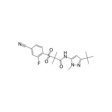 Cn1nc(C(C)(C)C)cc1NC(=O)C(C)(C)S(=O)(=O)c1ccc(C#N)cc1F